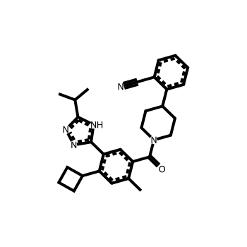 Cc1cc(C2CCC2)c(-c2nnc(C(C)C)[nH]2)cc1C(=O)N1CCC(c2ccccc2C#N)CC1